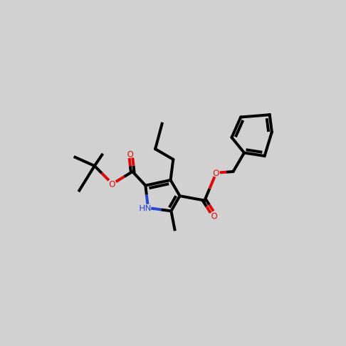 CCCc1c(C(=O)OC(C)(C)C)[nH]c(C)c1C(=O)OCc1ccccc1